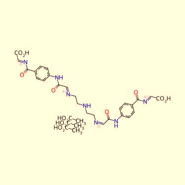 CC(=O)O.CC(=O)O.CC(=O)O.O=C(O)/C=N/C(=O)c1ccc(NC(=O)/C=N\CCNCC/N=C/C(=O)Nc2ccc(C(=O)/N=C/C(=O)O)cc2)cc1